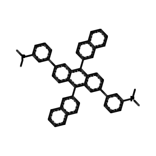 CP(C)c1cccc(-c2ccc3c(-c4ccc5ccccc5c4)c4cc(-c5cccc(P(C)C)c5)ccc4c(-c4ccc5ccccc5c4)c3c2)c1